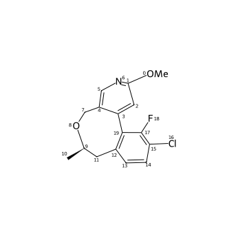 COc1cc2c(cn1)CO[C@H](C)Cc1ccc(Cl)c(F)c1-2